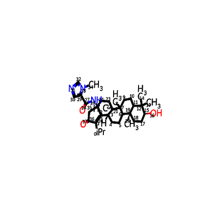 CC(C)C1=C2[C@H]3CCC4C(C)(CCC5C(C)(C)[C@@H](O)CC[C@@]54C)[C@]3(C)CC[C@@]2(NC(=O)c2cncn2C)CC1=O